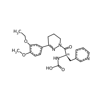 CCOc1cc(C2=NN(C(=O)[C@@H](Cc3cccnc3)NC(=O)O)CCC2)ccc1OC